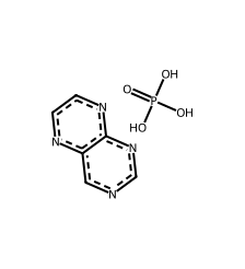 O=P(O)(O)O.c1cnc2ncncc2n1